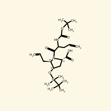 C=CCC(NC(=O)OC(C)(C)C)C(=O)N1[C@H](CC=C)[C@H](O[Si](C)(C)C(C)(C)C)C[C@H]1C(=O)O